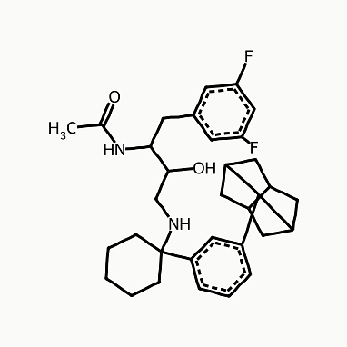 CC(=O)NC(Cc1cc(F)cc(F)c1)C(O)CNC1(c2cccc(C3C4CC5CC3CC5C4)c2)CCCCC1